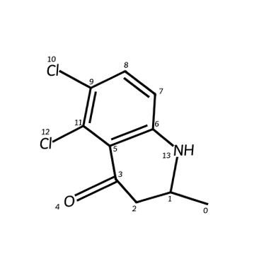 CC1CC(=O)c2c(ccc(Cl)c2Cl)N1